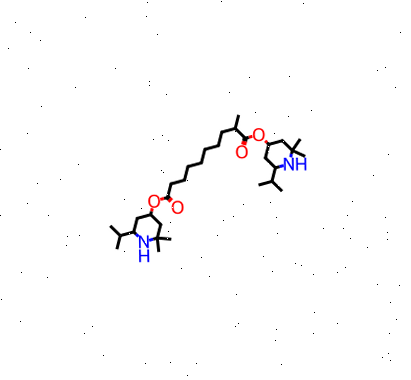 CC(CCCCCCCC(=O)OC1CC(C(C)C)NC(C)(C)C1)C(=O)OC1CC(C(C)C)NC(C)(C)C1